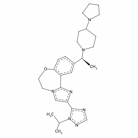 CC(C)n1ncnc1-c1cn2c(n1)-c1cc([C@H](C)N3CCC(N4CCCC4)CC3)ccc1OCC2